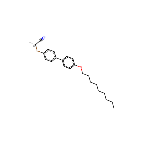 CCCCCCCCCOc1ccc(-c2ccc(S[C@H](C)C#N)cc2)cc1